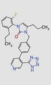 CCCc1cccc(F)c1-n1cc(CCC)n(Cc2ccc(-c3ccncc3-c3nnn[nH]3)cc2)c1=O